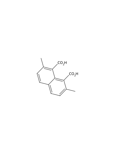 Cc1ccc2ccc(C)c(C(=O)O)c2c1C(=O)O